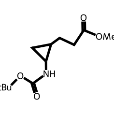 COC(=O)CCC1CC1NC(=O)OC(C)(C)C